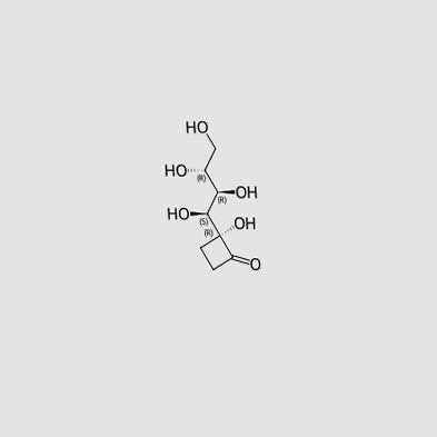 O=C1CC[C@@]1(O)[C@@H](O)[C@H](O)[C@H](O)CO